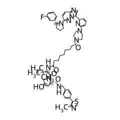 Cc1ncsc1-c1ccc(CNC(=O)[C@@H]2C[C@@H](O)CN2C(=O)[C@@H](NC(=O)CCCCCCCC(=O)N2CCN(c3cccc(-c4cnc5ccc(N6CCC[C@@H]6c6cccc(F)c6)nn45)n3)CC2)C(C)(C)C)cc1